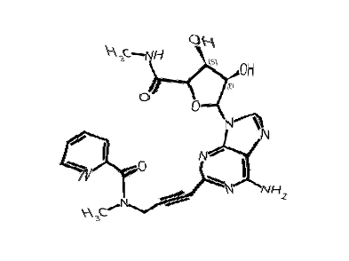 CNC(=O)C1OC(n2cnc3c(N)nc(C#CCN(C)C(=O)c4ccccn4)nc32)[C@H](O)[C@@H]1O